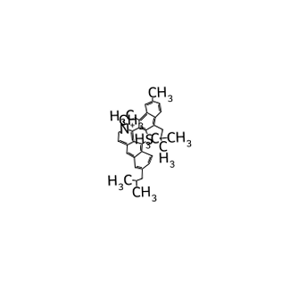 Cc1ccc2c(CC(C)(C)C)c3c(c(C)c2c1)-c1c2c(c4ccc(CC(C)C)cc4cc2cc[n+]1C)S3